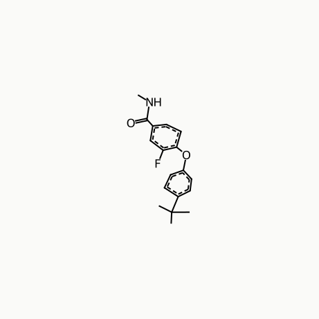 CNC(=O)c1ccc(Oc2ccc(C(C)(C)C)cc2)c(F)c1